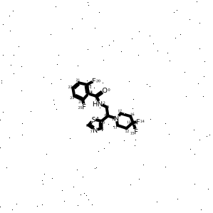 O=C(NCC(c1cncs1)N1CCC(F)(F)CC1)c1c(F)cccc1F